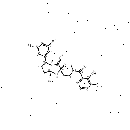 Cc1ccnc(C(=O)N2CCC3(CC2)O[C@@H]2CC[C@@H](c4cc(F)cc(F)c4)N2C3=O)c1C